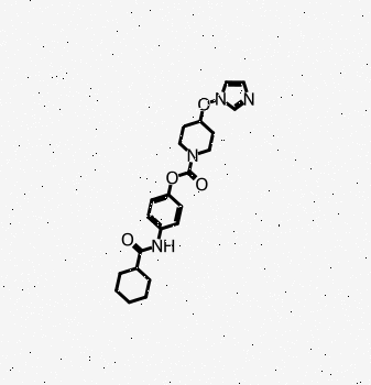 O=C(Nc1ccc(OC(=O)N2CCC(On3ccnc3)CC2)cc1)C1CCCCC1